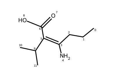 CCCC(N)=C(C(=O)O)C(C)C